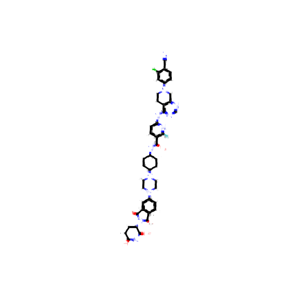 N#Cc1ccc(N2CCc3c(ncnc3Nc3ccc(C(=O)NC4CCC(N5CCN(c6ccc7c(c6)C(=O)N(C6CCC(=O)NC6=O)C7=O)CC5)CC4)c(F)n3)C2)cc1Cl